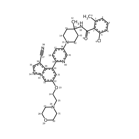 Cc1cccc(Cl)c1C(=O)NC1(C)CCN(c2ccc(-c3cc(OCCN4CCOCC4)cn4ncc(C#N)c34)nc2)CC1